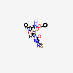 Cn1nc(-c2cscn2)cc1C(=O)N1C[C@@H]2C(Oc3cc(C(C)(C)NC(=O)OCc4ccccc4)cc(C4(C)CCCC4)n3)[C@@H]2C1